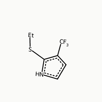 [CH2]CSc1[nH]ccc1C(F)(F)F